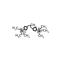 C=C(Cc1ccc([Si](OCC)(OCC)OCC)cc1)Cc1ccc([Si](OCC)(OCC)OCC)cc1